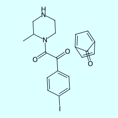 CC1CNCCN1C(=O)C(=O)c1ccc(I)cc1.O=C1C2=CC=C1C=C2